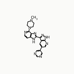 CN1CCN(c2nccc3[nH]c(-c4n[nH]c5ncc(-c6cncnc6)cc45)nc23)CC1